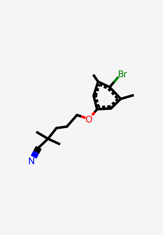 Cc1cc(OCCCC(C)(C)C#N)cc(C)c1Br